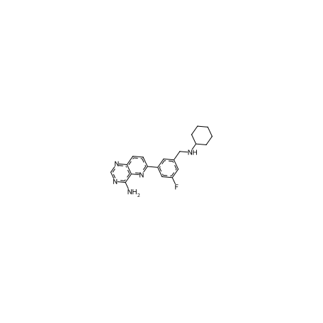 Nc1ncnc2ccc(-c3cc(F)cc(CNC4CCCCC4)c3)nc12